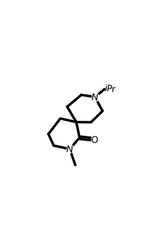 CC(C)N1CCC2(CCCN(C)C2=O)CC1